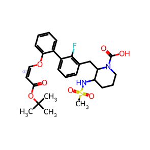 CC(C)(C)OC(=O)/C=C\Oc1ccccc1-c1cccc(CC2C(NS(C)(=O)=O)CCCN2C(=O)O)c1F